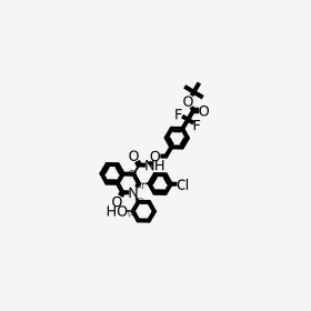 CC(C)(C)OC(=O)C(F)(F)c1ccc(CONC(=O)[C@@H]2c3ccccc3C(=O)N([C@H]3CCCC[C@@H]3O)[C@H]2c2ccc(Cl)cc2)cc1